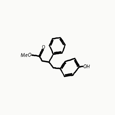 COC(=O)CC(Cc1ccc(O)cc1)c1ccccc1